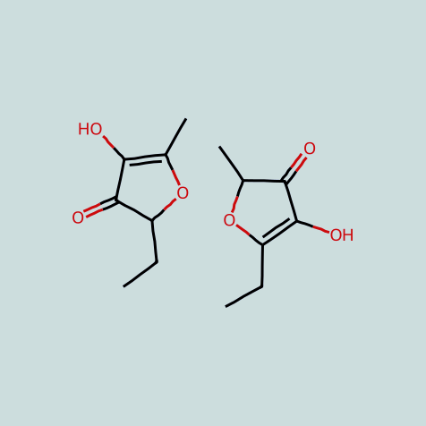 CCC1=C(O)C(=O)C(C)O1.CCC1OC(C)=C(O)C1=O